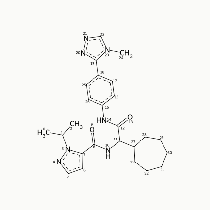 CC(C)n1nccc1C(=O)NC(C(=O)Nc1ccc(-c2nncn2C)cc1)C1CCCCCC1